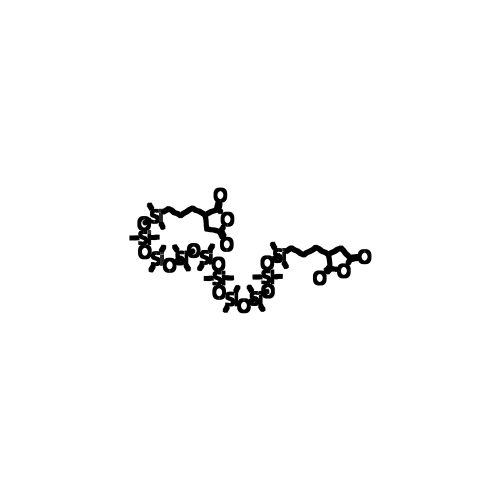 C[Si](C)(CCCC1CC(=O)OC1=O)O[Si](C)(C)O[Si](C)(C)O[Si](C)(C)O[Si](C)(C)O[Si](C)(C)O[Si](C)(C)O[Si](C)(C)O[Si](C)(C)O[Si](C)(C)CCCC1CC(=O)OC1=O